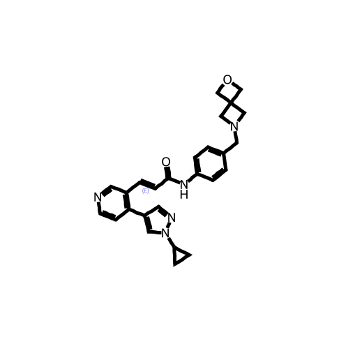 O=C(/C=C/c1cnccc1-c1cnn(C2CC2)c1)Nc1ccc(CN2CC3(COC3)C2)cc1